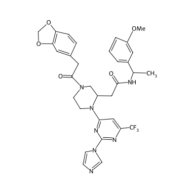 COc1cccc(C(C)NC(=O)CC2CN(C(=O)Cc3ccc4c(c3)OCO4)CCN2c2cc(C(F)(F)F)nc(-n3ccnc3)n2)c1